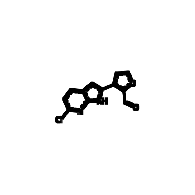 O=Cc1occc1-c1cc2ccc(Cl)nc2[nH]1